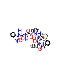 CCCC(NC(=O)[C@@H]1CC2(CN1C(=O)[C@@H](NC(=O)C(C)c1ccccc1)C(C)(C)C)SCCCS2)C(=O)C(=O)NCC(=O)NC(C(=O)N(C)C)c1ccccc1